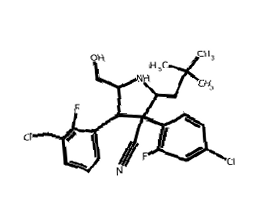 CC(C)(C)CC1NC(CO)C(c2cccc(Cl)c2F)C1(C#N)c1ccc(Cl)cc1F